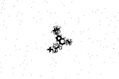 CC(C)(C)c1noc(C(=O)NC2CCN(CC(F)(F)F)Cc3cc(B4OC(C)(C)C(C)(C)O4)ccc32)n1